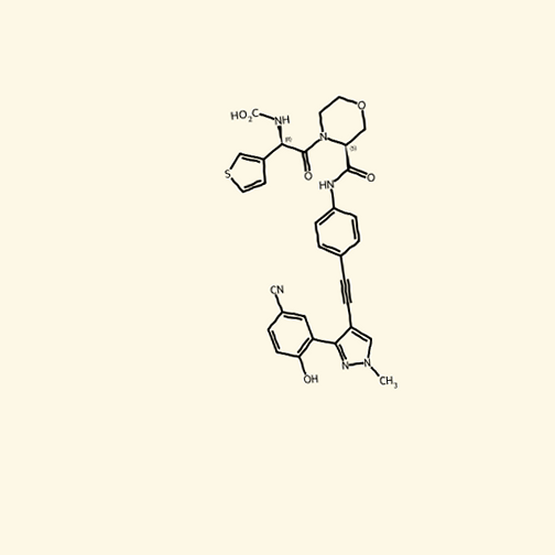 Cn1cc(C#Cc2ccc(NC(=O)[C@@H]3COCCN3C(=O)[C@H](NC(=O)O)c3ccsc3)cc2)c(-c2cc(C#N)ccc2O)n1